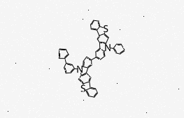 c1ccc(-c2cccc(-n3c4ccc(-c5ccc6c(c5)c5cc7c(cc5n6-c5ccccc5)sc5ccccc57)cc4c4cc5c(cc43)sc3ccccc35)c2)cc1